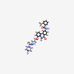 CC(C)c1ccccc1C(=O)Nc1ccc(C(=O)N(C)c2ccccc2OCCCNC(=O)N2CCN(C)CC2)cc1